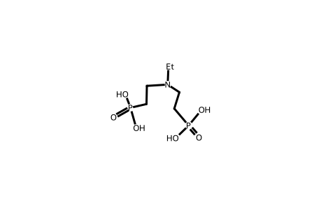 CCN(CCP(=O)(O)O)CCP(=O)(O)O